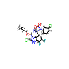 C[Si](C)(C)CCOCn1c(Cl)nc2c(F)c(F)cc(-c3noc(=O)n3-c3cccc(Cl)c3)c21